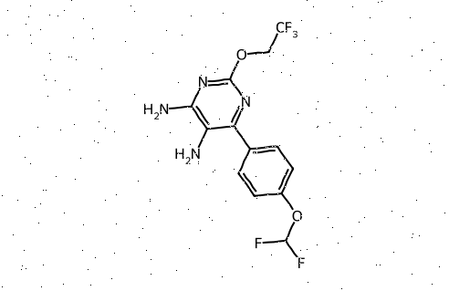 Nc1nc(OCC(F)(F)F)nc(-c2ccc(OC(F)F)cc2)c1N